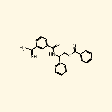 N=C(N)c1cccc(C(=O)N[C@@H](COC(=O)c2ccccc2)c2ccccc2)c1